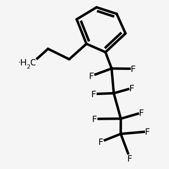 [CH2]CCc1ccccc1C(F)(F)C(F)(F)C(F)(F)C(F)(F)F